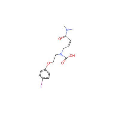 CN(C)C(=O)/C=C\CN(CCOc1ccc(I)cc1)C(=O)O